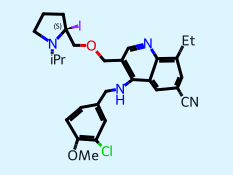 CCc1cc(C#N)cc2c(NCc3ccc(OC)c(Cl)c3)c(COC[C@@]3(I)CCCN3C(C)C)cnc12